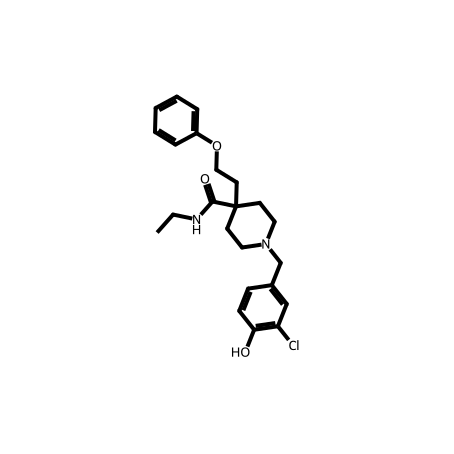 CCNC(=O)C1(CCOc2ccccc2)CCN(Cc2ccc(O)c(Cl)c2)CC1